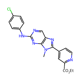 CCOC(=O)c1cc(-c2nc3cnc(Nc4ccc(Cl)cc4)nc3n2C)ccn1